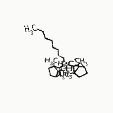 CCCCCCCCP(C1CC2CCC1(C)C2(C)C)C1CC2CCC1(C)C2(C)C